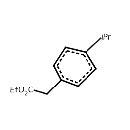 CCOC(=O)Cc1ccc(C(C)C)cc1